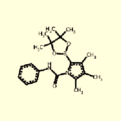 Cc1c(C)c(B2OC(C)(C)C(C)(C)O2)n(C(=O)Nc2ccccc2)c1C